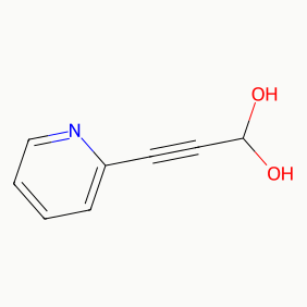 OC(O)C#Cc1ccccn1